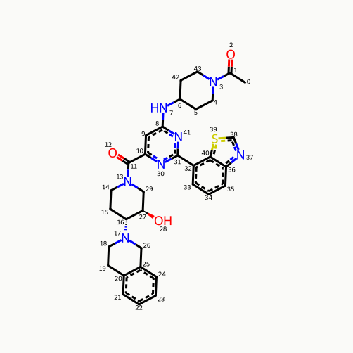 CC(=O)N1CCC(Nc2cc(C(=O)N3CC[C@@H](N4CCc5ccccc5C4)[C@H](O)C3)nc(-c3cccc4ncsc34)n2)CC1